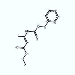 CCOC(=O)C=C(C)NC(=O)OCc1ccccc1